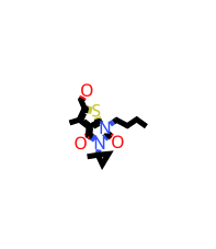 CCCCn1c(=O)n(C2(C)CC2)c(=O)c2c(C)c(C=O)sc21